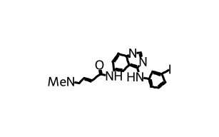 CNC/C=C/C(=O)Nc1ccc2ncnc(Nc3cccc(I)c3)c2c1